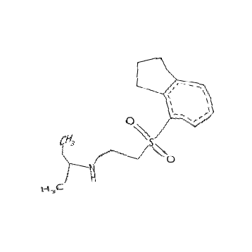 CC(C)NCCS(=O)(=O)c1cccc2c1CCC2